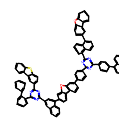 c1ccc(-c2ccccc2-c2nc(-c3cc(-c4ccc5c(c4)oc4cc(-c6ccc(-c7nc(-c8ccc(-c9cccc%10ccccc9%10)cc8)nc(-c8cccc9c(-c%10ccc%11oc%12ccccc%12c%11c%10)cccc89)n7)cc6)ccc45)c4ccccc4c3)nc(-c3ccc4sc5ccccc5c4c3)n2)cc1